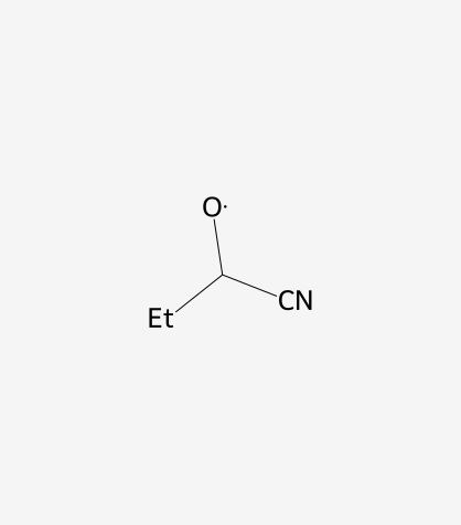 CCC([O])C#N